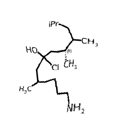 CC(C)CC(C)[C@H](C)CC(O)(Cl)CC(C)CCCN